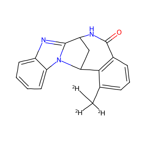 [2H]C([2H])([2H])c1cccc2c1C1CC(NC2=O)c2nc3ccccc3n21